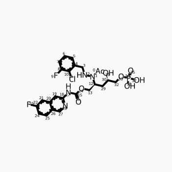 CC(=O)N(NCc1cccc(F)c1Cl)[C@H](COC(=O)Nc1cc2cc(F)ccc2cn1)C[C@H](O)COP(=O)(O)O